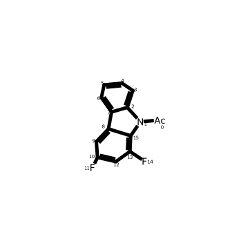 CC(=O)n1c2ccccc2c2cc(F)cc(F)c21